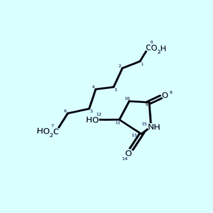 O=C(O)CCCCCCC(=O)O.O=C1CC(O)C(=O)N1